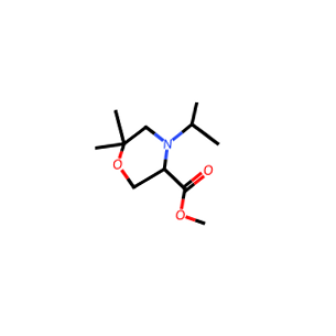 COC(=O)C1COC(C)(C)CN1C(C)C